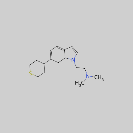 CN(C)CCN1C=CC2=CC=C(C3CCSCC3)CC21